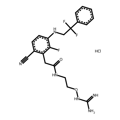 Cl.N#Cc1ccc(NCC(F)(F)c2ccccc2)c(F)c1CC(=O)NCCONC(=N)N